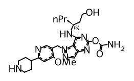 CCC[C@@H](CCO)Nc1nc(OC(N)=O)nc2cnn(Cc3cnc(C4CCNCC4)cc3OC)c12